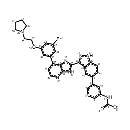 CCC(=O)Nc1cncc(-c2ccc3[nH]nc(-c4nc5c(-c6cc(F)cc(OCCN7CCCC7)c6)ccnc5[nH]4)c3c2)c1